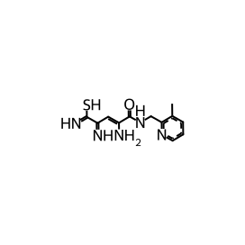 Cc1cccnc1CNC(=O)/C(N)=C/C(=N)C(=N)S